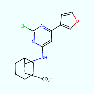 O=C(O)C1C2CCC(CC2)C1Nc1cc(-c2ccoc2)nc(Cl)n1